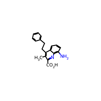 Cc1c(C(=O)O)nc2c(N)cccc2c1CCc1ccccc1